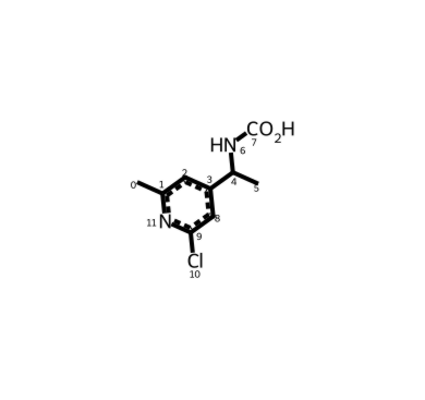 Cc1cc(C(C)NC(=O)O)cc(Cl)n1